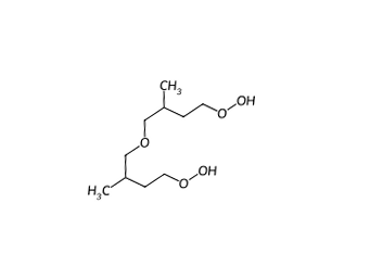 CC(CCOO)COCC(C)CCOO